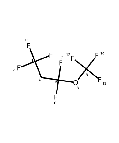 FC(F)(F)CC(F)(F)OC(F)(F)F